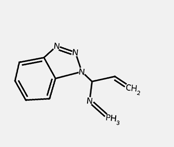 C=CC(N=[PH3])n1nnc2ccccc21